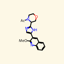 COc1nc2ccccc2cc1-c1cnc(C2COCCN2C(C)=O)[nH]1